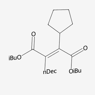 CCCCCCCCCCC(C(=O)OCC(C)C)=C(C(=O)OCC(C)C)C1CCCC1